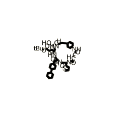 CC(C)(C)OC(=O)CC[C@@H]1NC(=O)[C@H](Cc2ccc(-c3ccccc3)cc2)NC(=O)C(c2cccs2)NC(=O)CCC(=O)Nc2ccc(cc2)C[C@@H](C(=O)O)NC1=O